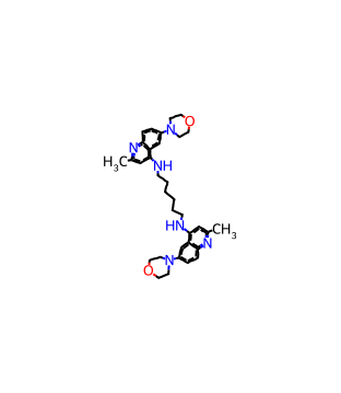 Cc1cc(NCCCCCCNc2cc(C)nc3ccc(N4CCOCC4)cc23)c2cc(N3CCOCC3)ccc2n1